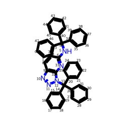 c1ccc(C(Nc2ccc3nnn(C(c4ccccc4)(c4ccccc4)c4ccccc4)c3n2)(c2ccccc2)c2ccccc2)cc1